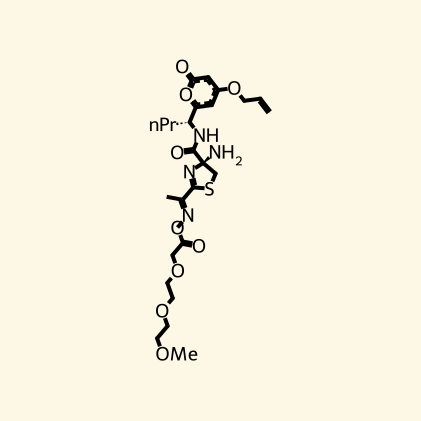 C=CCOc1cc([C@@H](CCC)NC(=O)[C@]2(N)CSC(/C(C)=N/OC(=O)COCCOCCOC)=N2)oc(=O)c1